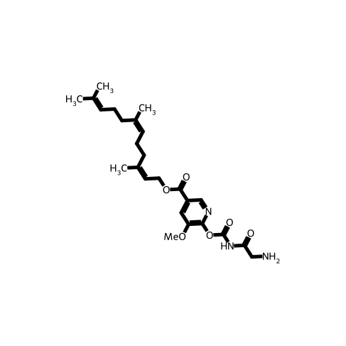 COc1cc(C(=O)OCC=C(C)CCC=C(C)CCC=C(C)C)cnc1OC(=O)NC(=O)CN